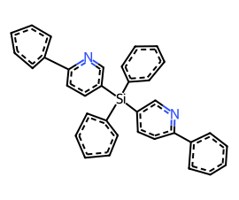 c1ccc(-c2ccc([Si](c3ccccc3)(c3ccccc3)c3ccc(-c4ccccc4)nc3)cn2)cc1